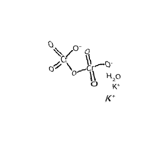 O.[K+].[K+].[O]=[Cr](=[O])([O-])[O][Cr](=[O])(=[O])[O-]